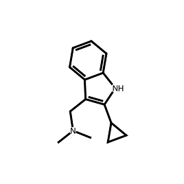 CN(C)Cc1c(C2CC2)[nH]c2ccccc12